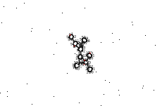 c1ccc(-c2ccc3c4cc(-c5ccc6c(c5)c5c(-c7ccccc7)cc(-c7ccccc7)cc5n6-c5ccccc5)ccc4n(-c4ccccc4)c3c2)cc1